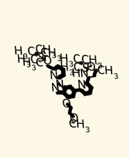 CCC[C@H](N[S@+]([O-])C(C)(C)C)c1cccc(-c2cc(OCCOC)c3cnn(-c4cccc(CO[Si](C)(C)C(C)(C)C)n4)c3c2)n1